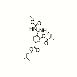 C=C(C)C(=O)Oc1cc(C(=O)OCCC(C)C)ccc1C(N)NC(=O)OCC